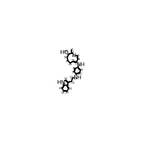 C\C1=N/C=C\C(Nc2ccc(NCCc3c[nH]c4ccccc34)cc2)=C\CCCC1O